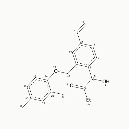 C=Cc1ccc(N(O)C(=O)CC)c(COc2ccc(C)cc2C)c1